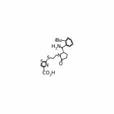 CCC(C)c1ccccc1C(N)[C@H]1CCC(=O)N1CCSc1nc(C(=O)O)cs1